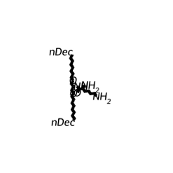 CCCCCCCCCCCCCCCCCCOCC(COCCCCCCCCCCCCCCCCCC)NC(=O)C(N)CCCCN